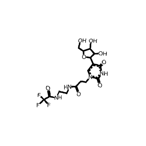 O=C(CCn1cc(C2OC(CO)C(O)C2O)c(=O)[nH]c1=O)NCCNC(=O)C(F)(F)F